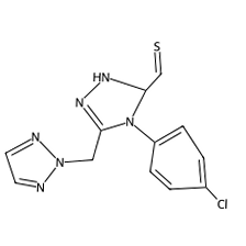 S=CC1NN=C(Cn2nccn2)N1c1ccc(Cl)cc1